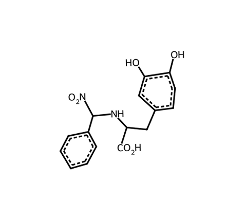 O=C(O)C(Cc1ccc(O)c(O)c1)NC(c1ccccc1)[N+](=O)[O-]